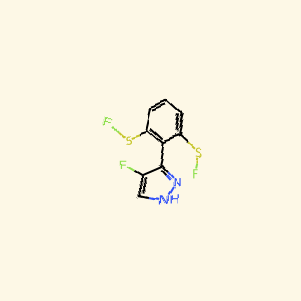 FSc1cccc(SF)c1-c1n[nH]cc1F